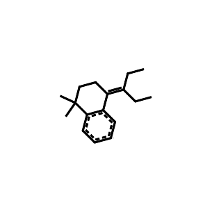 CCC(CC)=C1CCC(C)(C)c2cc[c]cc21